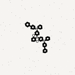 c1ccc(-c2ccc(N(c3ccccc3)c3ccc4c(c3)Oc3cccc5c3B4c3ccc(N(c4ccccc4)c4ccc(-c6ccccc6)cc4)cc3O5)cc2)cc1